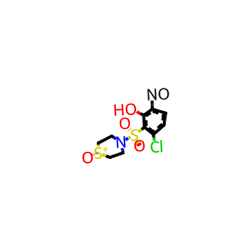 O=Nc1ccc(Cl)c(S(=O)(=O)N2CC[S+]([O-])CC2)c1O